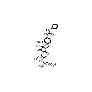 CC(C)C[C@@H](C(=O)N[C@H](C)CC(=O)O)N1C(=O)N(Cc2ccc(NC(=O)Nc3ccccc3)cc2)C(C)(C)C1=O.[NaH]